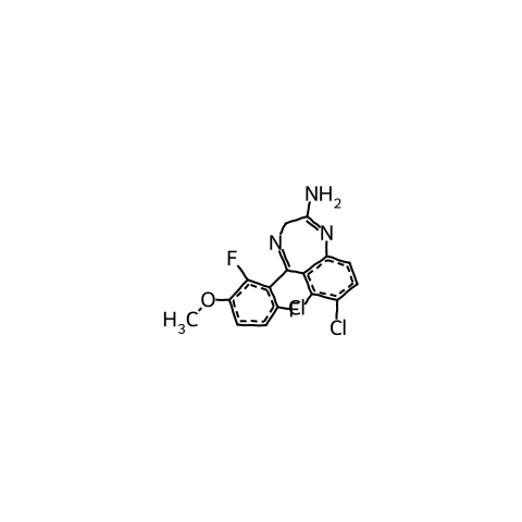 COc1ccc(F)c(C2=NCC(N)=Nc3ccc(Cl)c(Cl)c32)c1F